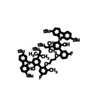 Cc1cc(F)cc(-c2cc(C(C)(C)CC(C)(C)C)cc(-n3c4cc(C(C)(C)C)ccc4c4ccc(C(C)(C)C)cc43)c2O)c1OCCCOc1ccc(F)cc1-c1cc(C(C)(C)CC(C)(C)C)cc(-n2c3cc(C(C)(C)C)ccc3c3ccc(C(C)(C)C)cc32)c1O